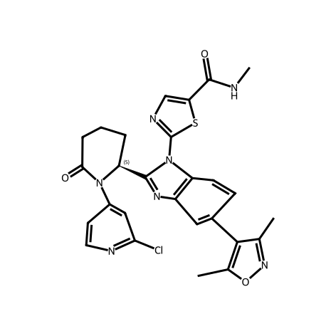 CNC(=O)c1cnc(-n2c([C@@H]3CCCC(=O)N3c3ccnc(Cl)c3)nc3cc(-c4c(C)noc4C)ccc32)s1